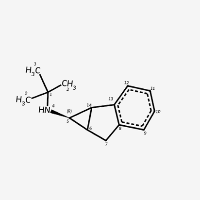 CC(C)(C)N[C@@H]1C2Cc3ccccc3C21